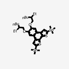 CCCCC(CC)COc1cc2c(cc1OCC(CC)CCCC)c1c[c]([Sn]([CH3])([CH3])[CH3])sc1c1s[c]([Sn]([CH3])([CH3])[CH3])cc21